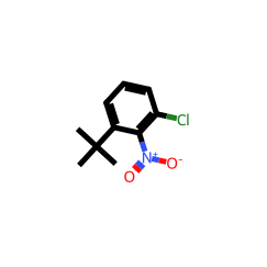 CC(C)(C)c1cccc(Cl)c1[N+](=O)[O-]